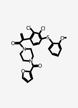 C=C(C(=O)N1CCN(C(=O)c2ccco2)CC1)c1ccc(Sc2ccccc2OC)c(Cl)c1Cl